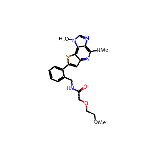 CNc1nc2cc(-c3ccccc3CNC(=O)COCCOC)sc2c2c1ncn2C